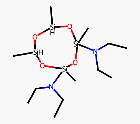 CCN(CC)[Si]1(C)O[SiH](C)O[SiH](C)O[Si](C)(N(CC)CC)O1